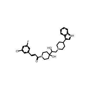 O=C(/C=C/c1cc(F)cc(Cl)c1)N1CCC(O)(C(O)CN2CCC(c3c[nH]c4ccccc34)CC2)CC1